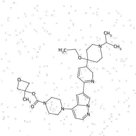 CCOC1(C2C=CC(c3cc4c(N5CCN(C(=O)OC6(C)COC6)CC5)ccnn4c3)=NC2)CCN(C(C)C)CC1